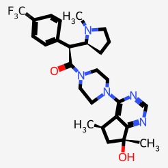 C[C@@H]1C[C@@](C)(O)c2ncnc(N3CCN(C(=O)[C@@H](c4ccc(C(F)(F)F)cc4)[C@@H]4CCCN4C)CC3)c21